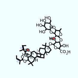 C/C=C(/C)C(=O)O[C@H]1[C@H](OC(=O)/C(C)=C\C)[C@]2(CO)[C@H](O)C[C@]3(C)C(=C4CC5[C@@]6(C)CC[C@H](OC7OC(C(=O)O)C(O)C(OC8OC(C)C(O)C(OC9OC(CO)C(O)C(O)C9O)C8O)C7O)C(C)(C)C6CC[C@]453)[C@@H]2CC1(C)C